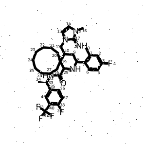 Cc1cc(F)ccc1C1CC(Cn2ccn(C)c2=N)C2(CCCCCCCCC2)C(C(=O)N[C@H](C)c2ccc(F)c(C(F)(F)F)c2)N1